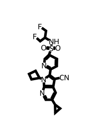 N#Cc1c(-c2ccc(S(=O)(=O)NC(CF)CF)cn2)n(C2CCC2)c2ncc(C3CC3)cc12